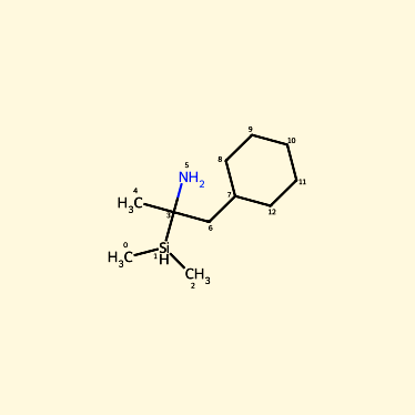 C[SiH](C)C(C)(N)CC1CCCCC1